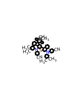 Cc1ccc(N(c2ccc(C#N)cc2)c2cc3sc4c(N(c5ccc(C#N)cc5)c5ccc(C)c(C)c5)c5c(cc4c3c3ccccc23)C2(c3ccccc3-5)c3ccccc3[Si](C)(C)c3ccccc32)cc1C